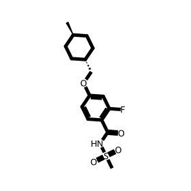 CS(=O)(=O)NC(=O)c1ccc(OC[C@H]2CC[C@H](C)CC2)cc1F